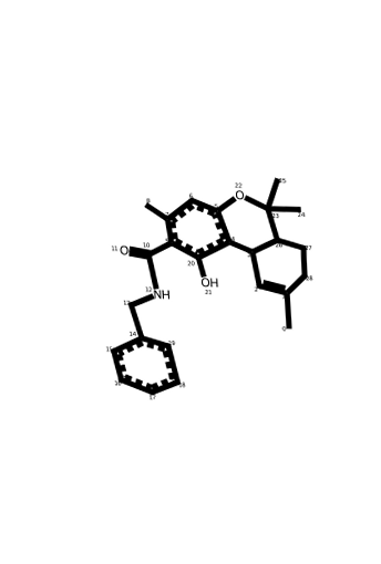 CC1=CC2c3c(cc(C)c(C(=O)NCc4ccccc4)c3O)OC(C)(C)C2CC1